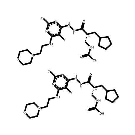 O=C(O)NC[C@@H](CC1CCCC1)C(=O)NNc1nc(Cl)nc(NCCN2CCOCC2)c1F.O=C(O)NC[C@@H](CC1CCCC1)C(=O)NNc1nc(Cl)nc(NCCN2CCOCC2)c1F